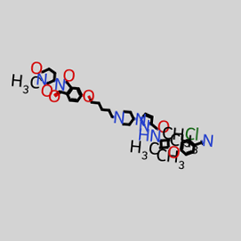 CN1C(=O)CCC(N2C(=O)c3ccc(OCCCCCN4CCC(n5ccc(C(=O)NC6C(C)(C)C(Oc7ccc(C#N)c(Cl)c7)C6(C)C)n5)CC4)cc3C2=O)C1=O